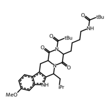 COc1ccc2c3c([nH]c2c1)C(CC(C)C)N1C(=O)C(CCCCNC(=O)C(C)(C)C)N(C(=O)C(C)(C)C)C(=O)C1C3